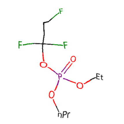 CCCOP(=O)(OCC)OC(F)(F)CF